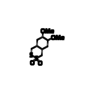 COC1CC2CSS(=O)(=O)CC2CC1OC